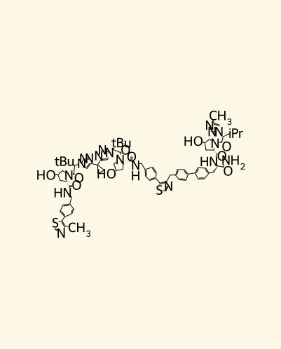 Cc1cn([C@H](C(=O)N2C[C@H](O)C[C@H]2C(=O)N[C@H](Cc2ccc(-c3ccc(Cc4ncsc4-c4ccc(CNC(=O)[C@@H]5C[C@@H](O)CN5C(=O)[C@@H](n5cc(C6(c7cn([C@H](C(=O)N8C[C@H](O)C[C@H]8C(=O)NCc8ccc(-c9scnc9C)cc8)C(C)(C)C)nn7)CC6)nn5)C(C)(C)C)cc4)cc3)cc2)C(N)=O)C(C)C)nn1